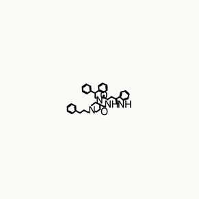 O=C1C(Cc2c[nH]c3ccccc23)NC(=O)C2(CCN(CCCc3ccccc3)CC2)N1CC(c1ccccc1)c1ccccc1